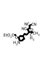 CCOC(=O)COc1cc(/C=C/C2=C(C#N)C(=C(C#N)C#N)OC2(C)C)ccc1N